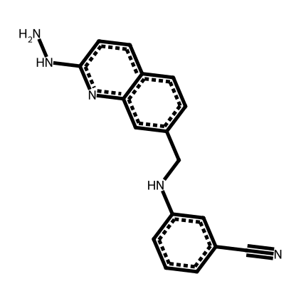 N#Cc1cccc(NCc2ccc3ccc(NN)nc3c2)c1